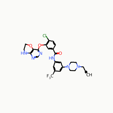 C#CCN1CCN(c2cc(NC(=O)c3ccc(Cl)c(Oc4ncnc5c4OCCN5)c3)cc(C(F)(F)F)c2)CC1